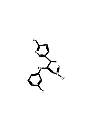 CC(C(=C[N+](=O)[O-])Nc1cccc(Cl)c1)c1ccc(Cl)nc1